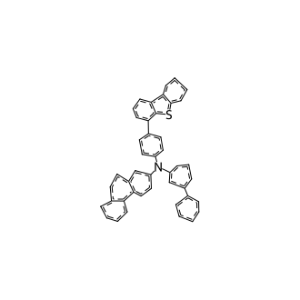 c1ccc(-c2cccc(N(c3ccc(-c4cccc5c4sc4ccccc45)cc3)c3ccc4c(ccc5ccccc54)c3)c2)cc1